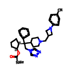 CNC(=O)O[C@H]1CCC[C@@H]1C(Cn1cnnc1)(c1ccccc1)C1CCN(CC2CN(c3ccc(C#N)cc3)C2)CC1